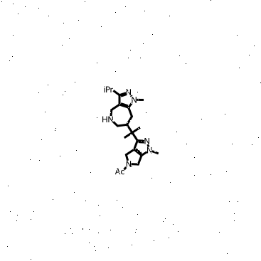 CC(=O)N1Cc2c(C(C)(C)C3CNCc4c(C(C)C)nn(C)c4C3)nn(C)c2C1